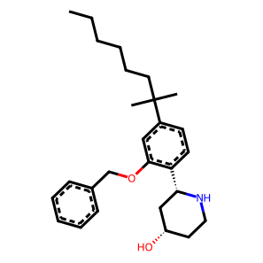 CCCCCCC(C)(C)c1ccc([C@H]2C[C@@H](O)CCN2)c(OCc2ccccc2)c1